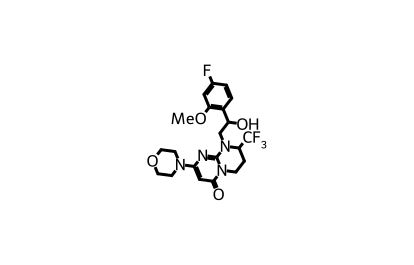 COc1cc(F)ccc1C(O)CN1c2nc(N3CCOCC3)cc(=O)n2CCC1C(F)(F)F